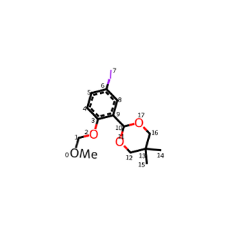 COCOc1ccc(I)cc1C1OCC(C)(C)CO1